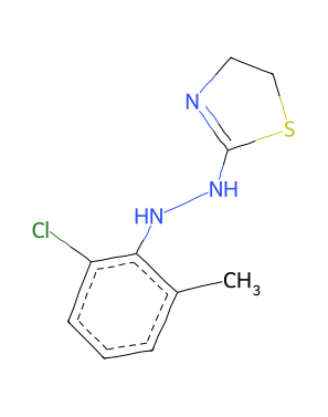 Cc1cccc(Cl)c1NNC1=NCCS1